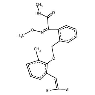 CNC(=O)C(=NOC)c1ccccc1COc1c(C)cccc1C=C(Br)Br